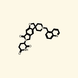 O=C1CCC(N2Cc3cc4c(cc3C2=O)OCC42CCN(Cc3cccc4ncccc34)CC2)C(=O)N1